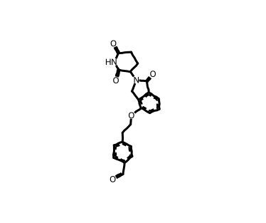 O=Cc1ccc(CCOc2cccc3c2CN(C2CCC(=O)NC2=O)C3=O)cc1